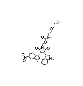 Cn1cc(C2=C(c3cn(C)c4cc([N+](=O)[O-])ccc34)C(=O)N(COC(=O)NCCOCCO)C2=O)c2ccccc21